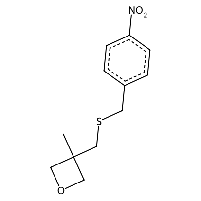 CC1(CSCc2ccc([N+](=O)[O-])cc2)COC1